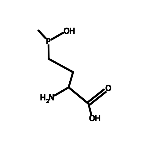 CP(O)CCC(N)C(=O)O